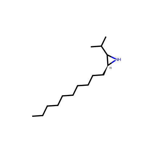 CCCCCCCCCC[C@@H]1NC1C(C)C